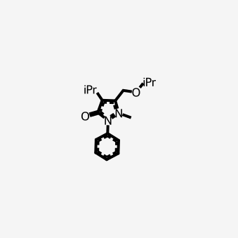 CC(C)OCc1c(C(C)C)c(=O)n(-c2ccccc2)n1C